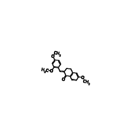 COc1ccc2c(c1)CCC(=Cc1ccc(OC)cc1OC)C2=O